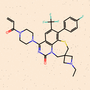 C=CC(=O)N1CCN(c2nc(=O)n3c4c(c(-c5ccc(F)cc5)c(C(F)(F)F)cc24)SCC2(CN(CC)C2)C3)CC1